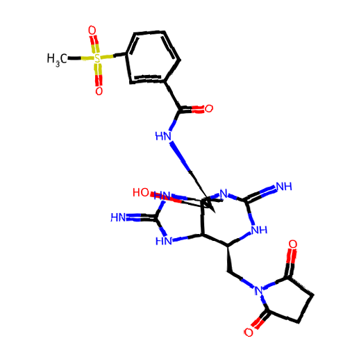 CS(=O)(=O)c1cccc(C(=O)N[C@H]2CN3C(=N)N[C@@H](CN4C(=O)CCC4=O)C4NC(=N)N[C@@]43[C@@H]2O)c1